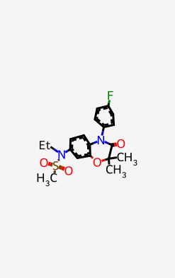 CCN(c1ccc2c(c1)OC(C)(C)C(=O)N2c1ccc(F)cc1)S(C)(=O)=O